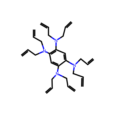 C=CCN(CC=C)c1cc(N(CC=C)CC=C)c(N(CC=C)CC=C)cc1N(CC=C)CC=C